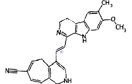 COc1cc2[nH]c3c(c2cc1C)CCN=C3/C=C/C1=CNCC2=C1CC=C(C#N)C=C2